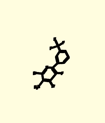 Nc1c(Br)nc(-c2cccc(C(F)(F)F)c2)c(F)c1Br